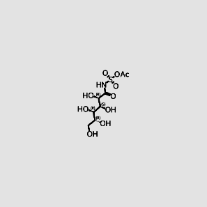 CC(=O)OS(=O)(=O)NC(=O)[C@H](O)[C@@H](O)[C@H](O)[C@H](O)CO